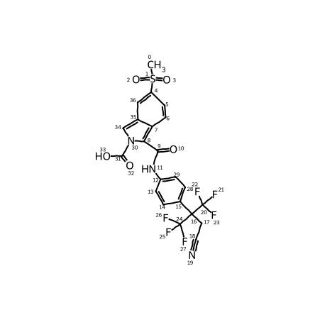 CS(=O)(=O)c1ccc2c(C(=O)Nc3ccc(C(CC#N)(C(F)(F)F)C(F)(F)F)cc3)n(C(=O)O)cc2c1